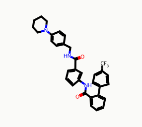 O=C(NCc1ccc(N2CCCCC2)cc1)c1cccc(NC(=O)c2ccccc2-c2ccc(C(F)(F)F)cc2)c1